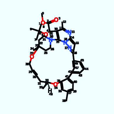 COC(=O)[C@@H](OC(C)(C)C)c1c(C)nc2cc3nn2c1N1CCC(C)(CC1)OCC=CC[C@H](C)Oc1cc(C)ccc1-c1cccc-3c1